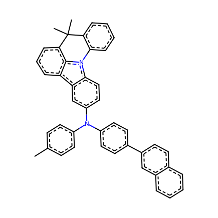 Cc1ccc(N(c2ccc(-c3ccc4ccccc4c3)cc2)c2ccc3c(c2)c2cccc4c2n3-c2ccccc2C4(C)C)cc1